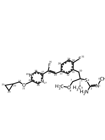 C/N=C(/N)S[C@@](C)(COC)Cc1cc(/C=C(\F)c2cnc(OCC3CC3)cn2)ccc1F